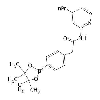 CCCc1ccnc(NC(=O)Cc2ccc(B3OC(C)(C)C(C)(C)O3)cc2)c1